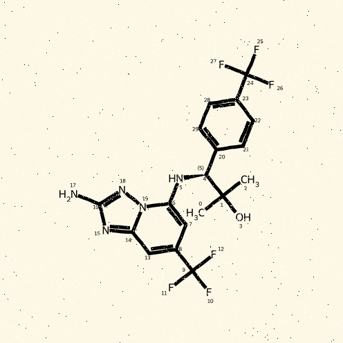 CC(C)(O)[C@@H](Nc1cc(C(F)(F)F)cc2nc(N)nn12)c1ccc(C(F)(F)F)cc1